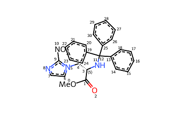 COC(=O)[C@H](Cn1ccnc1[N+](=O)[O-])NC(c1ccccc1)(c1ccccc1)c1ccccc1